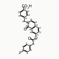 O=C(Cc1ccc(F)cc1)Oc1ccc2ccn(Cc3ccc(C(=O)O)cc3)c(=O)c2c1